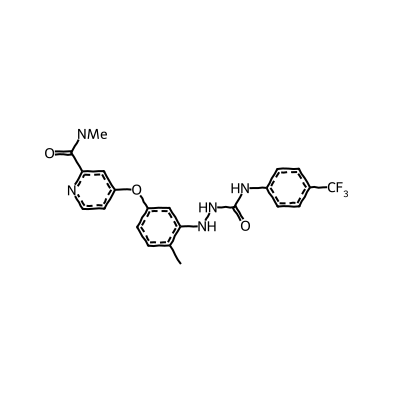 CNC(=O)c1cc(Oc2ccc(C)c(NNC(=O)Nc3ccc(C(F)(F)F)cc3)c2)ccn1